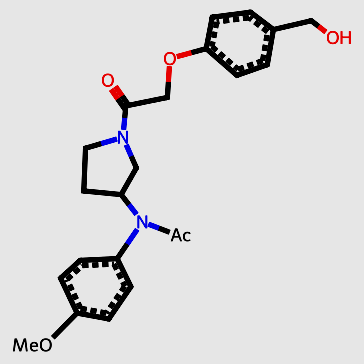 COc1ccc(N(C(C)=O)C2CCN(C(=O)COc3ccc(CO)cc3)C2)cc1